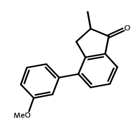 COc1cccc(-c2cccc3c2CC(C)C3=O)c1